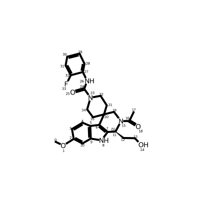 COc1ccc2c3c([nH]c2c1)[C@H](CCO)N(C(C)=O)CC31CCN(C(=O)Nc2ccccc2F)CC1